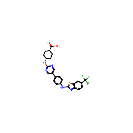 O=C(O)[C@H]1CC[C@@H](Oc2ncc(-c3ccc(Nc4nc5ccc(C(F)(F)F)cc5s4)cc3)cn2)CC1